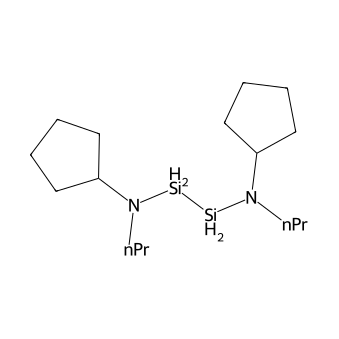 CCCN([SiH2][SiH2]N(CCC)C1CCCC1)C1CCCC1